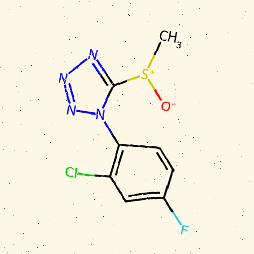 C[S+]([O-])c1nnnn1-c1ccc(F)cc1Cl